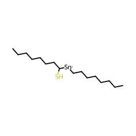 CCCCCCC[CH2][Sn][CH](S)CCCCCCC